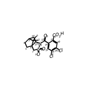 CC1(C)C2CCC13CS(=O)(=O)N(C(=O)c1cc(Cl)c(Cl)cc1C(=O)O)C3C2